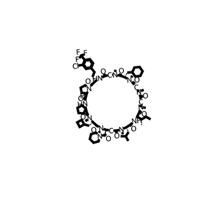 CC[C@H](C)[C@@H]1NC(=O)[C@H](CC(C)C)N(C)C(=O)C[C@@H](C(=O)N2CCCCC2)N(C)C(=O)[C@H](CC2CCC2)N(C)C(=O)C2(CCCC2)NC(=O)[C@@H]2CCCN2C(=O)[C@H](CCc2ccc(C(F)(F)F)c(Cl)c2)NC(=O)CN(C)C(=O)[C@H](CC2CCCCC2)N(C)C(=O)CN(C)C(=O)CN(C)C1=O